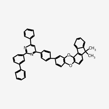 CC1(C)c2ccccc2-c2c1ccc1c2Oc2cc(-c3ccc(-c4cc(-c5ccccc5)nc(-c5cccc(-c6ccccc6)c5)n4)cc3)ccc2O1